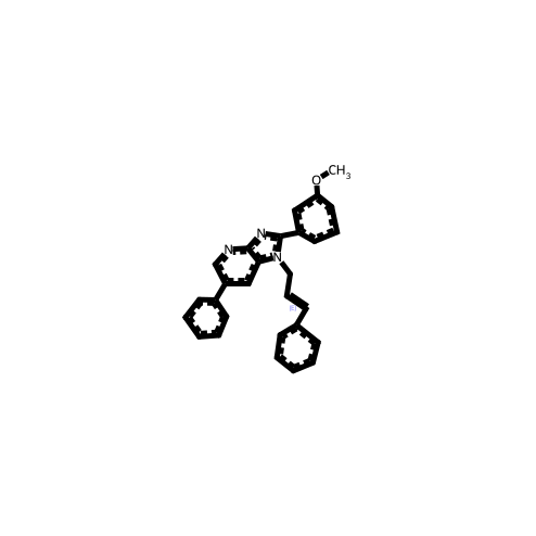 COc1cccc(-c2nc3ncc(-c4ccccc4)cc3n2C/C=C/c2ccccc2)c1